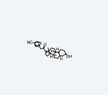 CC12CC[C@H]3[C@@H](CC[C@@H]4C[C@](C)(O)CC[C@@H]43)[C@@H]1CCC2C(=O)Cn1cc(C#N)cn1